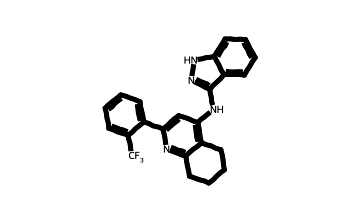 FC(F)(F)c1ccccc1-c1cc(Nc2n[nH]c3ccccc23)c2c(n1)CCCC2